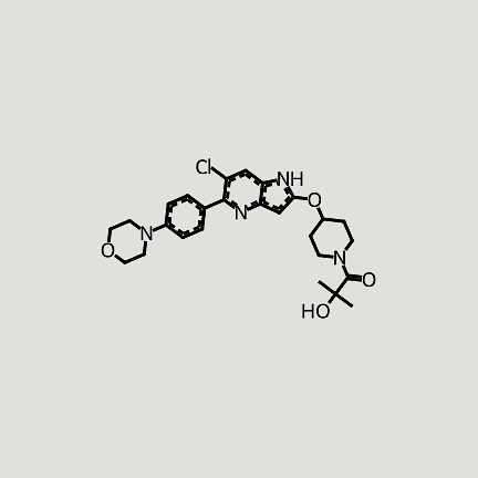 CC(C)(O)C(=O)N1CCC(Oc2cc3nc(-c4ccc(N5CCOCC5)cc4)c(Cl)cc3[nH]2)CC1